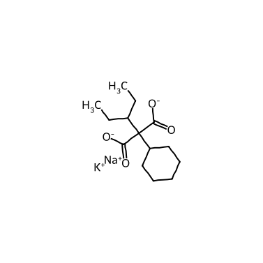 CCC(CC)C(C(=O)[O-])(C(=O)[O-])C1CCCCC1.[K+].[Na+]